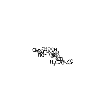 CC(NC(=O)NCC(C)(C)OC(=O)OCCN1CCOCC1)[C@@H](C)C(=O)N1CC[C@](O)(c2ccc(Cl)cc2)C(C)(C)C1